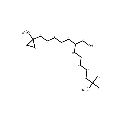 COC1(CCCCCC(CO)CCCCCC(C)(C)C(=O)O)CC1